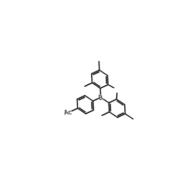 CC(=O)c1ccc(B(c2c(C)cc(C)cc2C)c2c(C)cc(C)cc2C)cc1